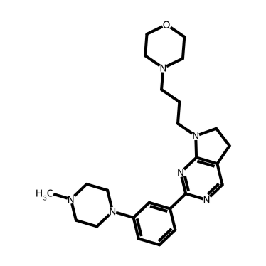 CN1CCN(c2cccc(-c3ncc4c(n3)N(CCCN3CCOCC3)CC4)c2)CC1